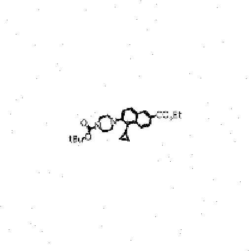 CCOC(=O)c1ccc2c(C3CC3)c(N3CCN(C(=O)OC(C)(C)C)CC3)ccc2c1